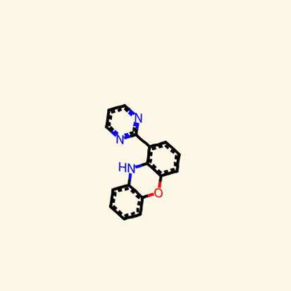 c1cnc(-c2cccc3c2Nc2ccccc2O3)nc1